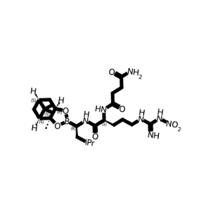 CC(C)C[C@H](NC(=O)[C@H](CCCNC(=N)N[N+](=O)[O-])NC(=O)CCC(N)=O)B1O[C@@H]2C[C@@H]3C[C@@H](C3(C)C)[C@]2(C)O1